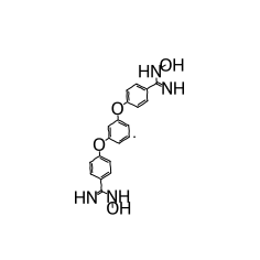 N=C(NO)c1ccc(Oc2c[c]cc(Oc3ccc(C(=N)NO)cc3)c2)cc1